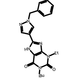 CCC(C)n1c(=O)c2[nH]c(-c3cnn(Cc4ccccc4)c3)nc2n(CC)c1=O